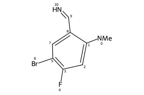 CNc1cc(F)c(Br)cc1C=N